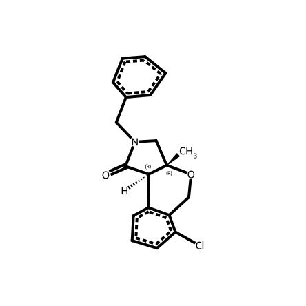 C[C@]12CN(Cc3ccccc3)C(=O)[C@@H]1c1cccc(Cl)c1CO2